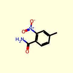 Cc1ccc(C(N)=O)c([N+](=O)[O-])c1